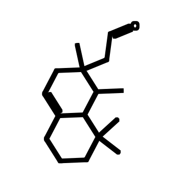 CC1C2C(=CCC1(C)CC=O)CCCC2(C)C